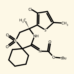 Cc1cc(Cl)c([C@]2(C)CS(=O)(=O)C3(CCCCC3)/C(=N/C(=O)OC(C)(C)C)N2)s1